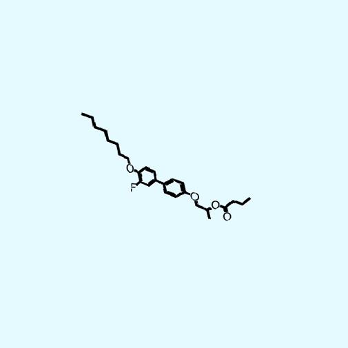 CCCCCCCCOc1ccc(-c2ccc(OCC(C)OC(=O)CCC)cc2)cc1F